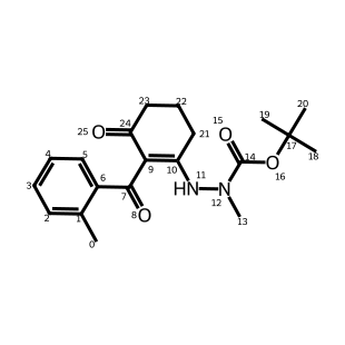 Cc1ccccc1C(=O)C1=C(NN(C)C(=O)OC(C)(C)C)CCCC1=O